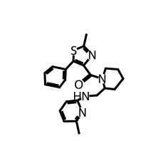 Cc1cccc(NCC2CCCCN2C(=O)c2nc(C)sc2-c2ccccc2)n1